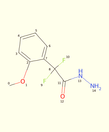 COc1ccccc1C(F)(F)C(=O)NN